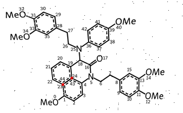 COc1ccc(N(CCc2ccc(OC)c(OC)c2)C(=O)C(c2ccccc2)N(CCc2ccc(OC)c(OC)c2)c2ccc(OC)cc2)cc1